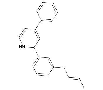 C/C=C/Cc1cccc(C2C=C(c3ccccc3)C=CN2)c1